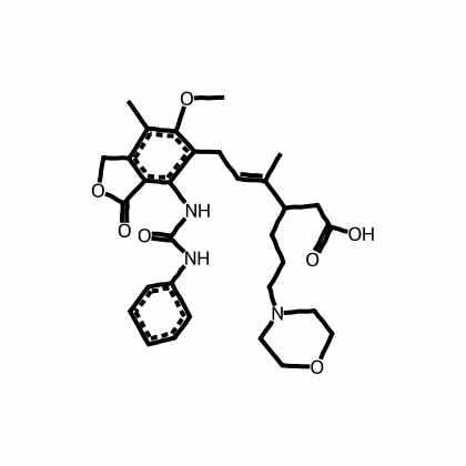 COc1c(C)c2c(c(NC(=O)Nc3ccccc3)c1C/C=C(\C)C(CCCN1CCOCC1)CC(=O)O)C(=O)OC2